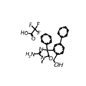 CN1C(=O)C(c2ccccc2)(c2cc(-c3ccccc3)ccc2CO)N=C1N.O=C(O)C(F)(F)F